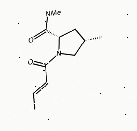 C/C=C/C(=O)N1C[C@@H](C)C[C@H]1C(=O)NC